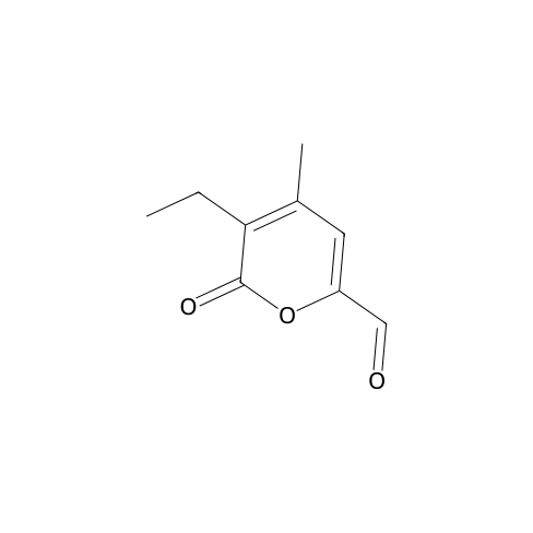 CCc1c(C)cc(C=O)oc1=O